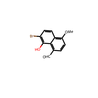 COc1ccc(C=O)c2c(O)c(Br)ccc12